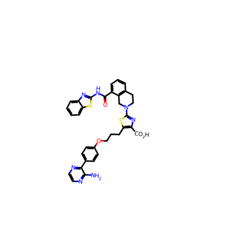 Nc1nccnc1-c1ccc(OCCCc2sc(N3CCc4cccc(C(=O)Nc5nc6ccccc6s5)c4C3)nc2C(=O)O)cc1